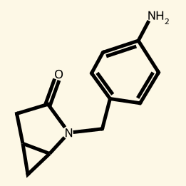 Nc1ccc(CN2C(=O)CC3CC32)cc1